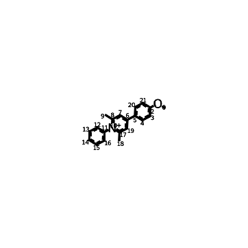 COc1ccc(-c2cc(C)[n+](-c3ccccc3)c(C)c2)cc1